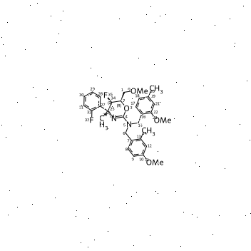 COC[C@H]1OC(N(Cc2ccc(OC)cc2C)Cc2ccc(C)cc2OC)=N[C@](C)(c2ccccc2F)[C@H]1F